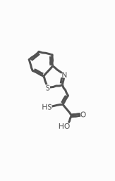 O=C(O)C(S)=Cc1nc2ccccc2s1